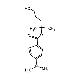 CN(C)c1ccc(C(=O)OC(C)(C)CCCO)cc1